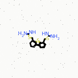 N=C(N)SCC1=c2sc3c(CSC(=N)N)cccc3c2=CCC1